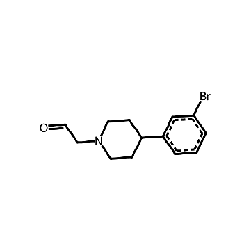 O=CCN1CCC(c2cccc(Br)c2)CC1